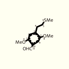 COc1cc(CCSC)c(OC)cc1C=O